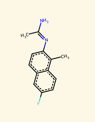 C/C(N)=N\c1ccc2cc(F)ccc2c1C